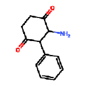 NC1[C](c2ccccc2)C(=O)CCC1=O